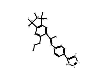 CCCc1cc2c(cc1C(C)=Cc1ccc(-c3nnn[nH]3)cc1)C(C)(C)C(C)C2(C)C